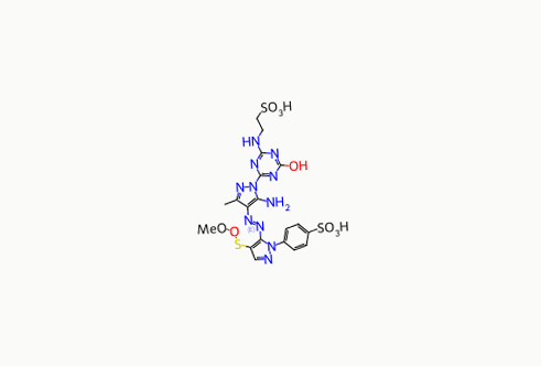 COOSc1cnn(-c2ccc(S(=O)(=O)O)cc2)c1/N=N/c1c(C)nn(-c2nc(O)nc(NCCS(=O)(=O)O)n2)c1N